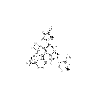 C[C@@H]1CNCCN1c1nc2nc(-c3noc(=O)[nH]3)nc(N[C@H](C)C3CCC3)c2n1C[C@H]1CC[C@H](C)CC1